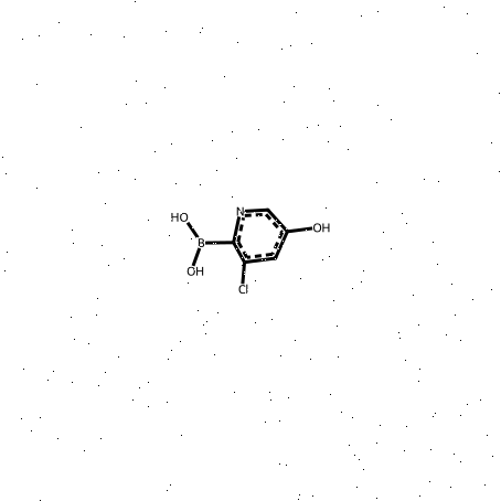 OB(O)c1ncc(O)cc1Cl